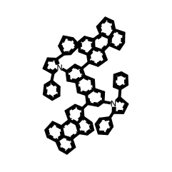 c1ccc(-c2ccc(-c3ccccc3)n2-c2cc(-c3ccc4c5cccc6cccc(c7cccc3c74)c65)c3cc4cc(-n5c(-c6ccccc6)ccc5-c5ccccc5)cc(-c5ccc6c7cccc8cccc(c9cccc5c96)c87)c4cc3c2)cc1